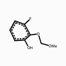 COCOc1c(O)cccc1F